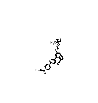 C#CC(=O)N1CCN(c2ccc(-c3cc(OCCOC4(C)COC4)cn4ncc(C#N)c34)cn2)CC1